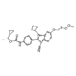 COOSCOc1ccc2c(C#N)c(-c3ccc(NC(=O)O[C@H](C)C4CC4)cc3)n(C3CCC3)c2c1